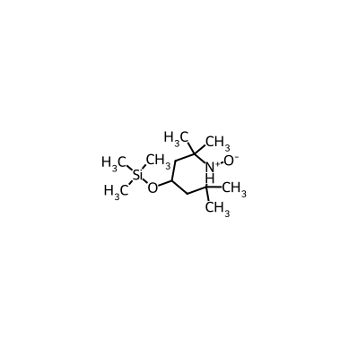 CC1(C)CC(O[Si](C)(C)C)CC(C)(C)[NH+]1[O-]